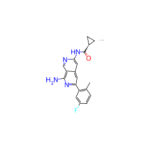 Cc1ccc(F)cc1-c1cc2cc(NC(=O)[C@H]3C[C@@H]3C)ncc2c(N)n1